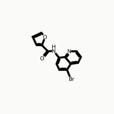 O=C(Nc1ccc(Br)c2cccnc12)c1ccco1